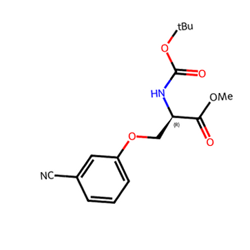 COC(=O)[C@@H](COc1cccc(C#N)c1)NC(=O)OC(C)(C)C